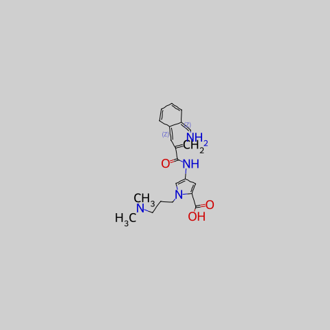 C=C(/C=c1/cccc/c1=C/N)C(=O)Nc1cc(C(=O)O)n(CCCN(C)C)c1